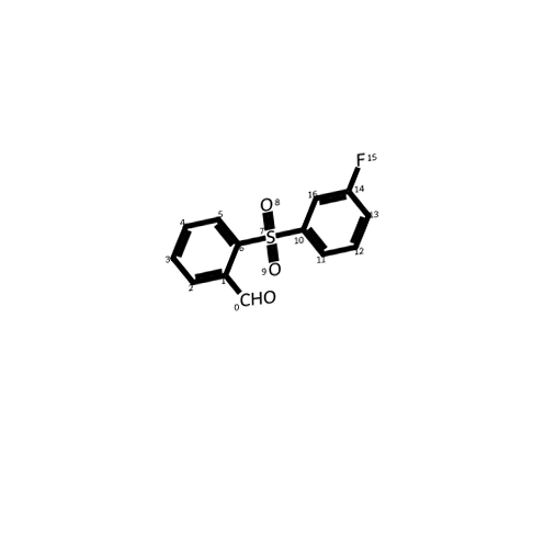 O=Cc1ccccc1S(=O)(=O)c1cccc(F)c1